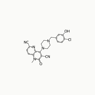 Cn1c(=O)c(C#N)c(N2CCN(Cc3ccc(Cl)c(O)c3)CC2)c2nc(C#N)ccc21